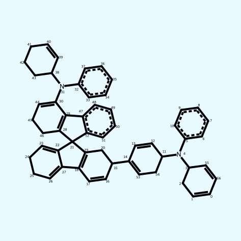 C1=CCC(N(c2ccccc2)C2C=CC(C3C=CC4=C(C3)C3(C5=CCCC=C54)C4=C(C(N(c5ccccc5)C5C=CCCC5)=CCC4)c4ccccc43)=CC2)C=C1